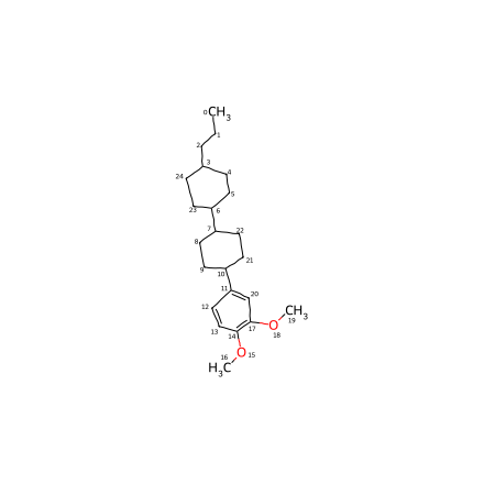 CCCC1CCC(C2CCC(c3ccc(OC)c(OC)c3)CC2)CC1